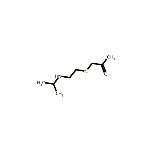 CC(=O)CNCCNC(C)C